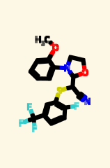 COc1ccccc1N1CCOC1C(C#N)Sc1cc(C(F)(F)F)ccc1F